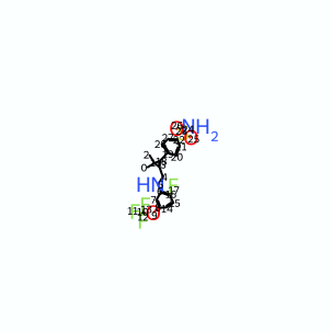 CC1(C)C(CNc2cc(OC(F)(F)F)ccc2F)C1c1ccc(S(N)(=O)=O)cc1